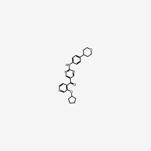 O=C(c1cnc(Nc2ccc(C3CCOCC3)cc2)nc1)c1ccncc1OC1CCCC1